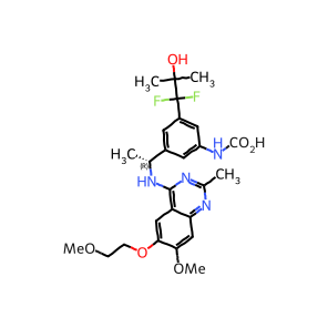 COCCOc1cc2c(N[C@H](C)c3cc(NC(=O)O)cc(C(F)(F)C(C)(C)O)c3)nc(C)nc2cc1OC